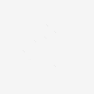 CCOc1cc(OC2CCN(C)C2)ccc1Nc1ncc(Cl)c(Nc2ccccc2S(=O)(=O)NC(C)C)n1